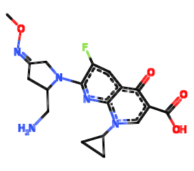 CON=C1CC(CN)N(c2nc3c(cc2F)c(=O)c(C(=O)O)cn3C2CC2)C1